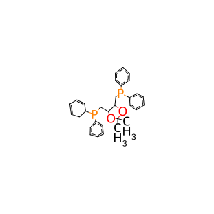 CC1(C)OC(CP(c2ccccc2)c2ccccc2)C(CP(c2ccccc2)C2C=CC=CC2)O1